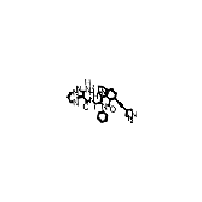 C[C@@H](NC(=O)c1c(N)nn2cccnc12)c1c2c3c(ccc(C#Cc4cnn(C)c4)c3c(=O)n1-c1ccccc1)C1C[C@@H]2N1C